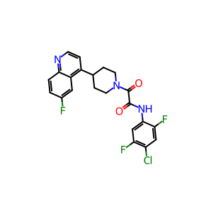 O=C(Nc1cc(F)c(Cl)cc1F)C(=O)N1CCC(c2ccnc3ccc(F)cc23)CC1